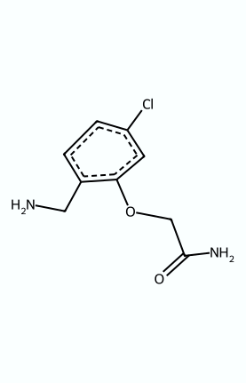 NCc1ccc(Cl)cc1OCC(N)=O